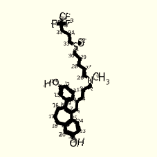 CN(CCCCCC1=C(c2cccc(O)c2)CCCc2cc(O)ccc21)CCCCC[S+]([O-])CCCC(F)(F)C(F)(F)F